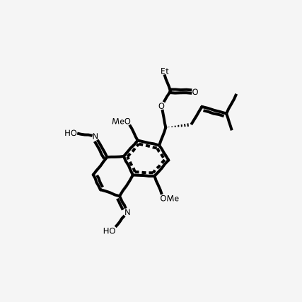 CCC(=O)O[C@H](CC=C(C)C)c1cc(OC)c2c(c1OC)/C(=N/O)C=C/C2=N\O